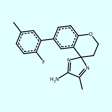 CC1=NC2(CCOc3ccc(-c4cc(C)ccc4F)cc32)N=C1N